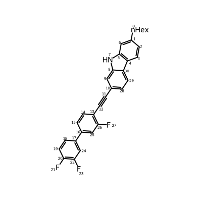 CCCCCCc1ccc2c(c1)[nH]c1cc(C#Cc3ccc(-c4ccc(F)c(F)c4)cc3F)ccc12